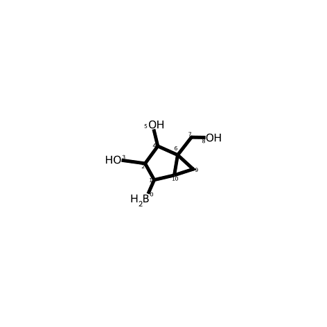 BC1C(O)C(O)C2(CO)CC12